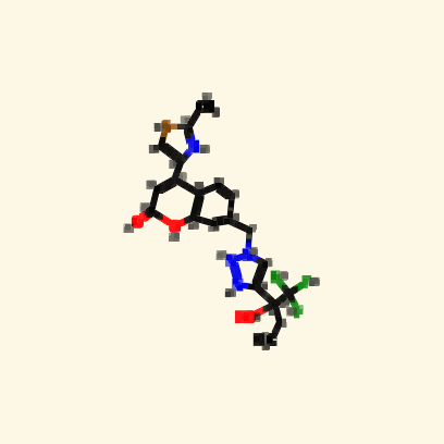 CCC(O)(c1cn(Cc2ccc3c(-c4csc(C)n4)cc(=O)oc3c2)nn1)C(F)(F)F